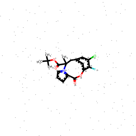 CC(C)(C)OC(=O)C1(C)Cc2cc(Cl)c(F)c(c2)OC(=O)c2cccn21